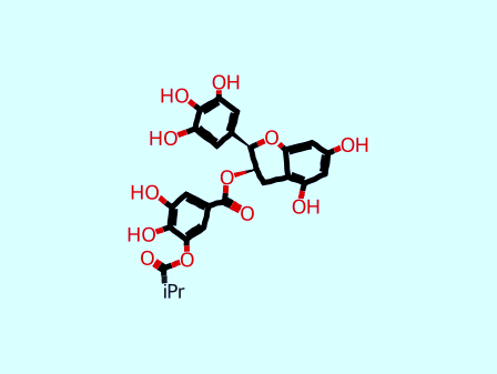 CC(C)C(=O)Oc1cc(C(=O)O[C@@H]2Cc3c(O)cc(O)cc3O[C@@H]2c2cc(O)c(O)c(O)c2)cc(O)c1O